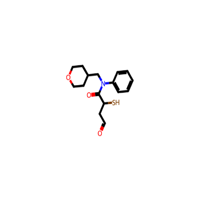 O=CCC(S)C(=O)N(CC1CCOCC1)c1ccccc1